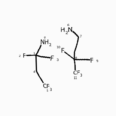 NC(F)(F)CC(F)(F)F.NCC(F)(F)C(F)(F)F